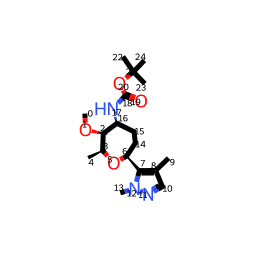 CO[C@@H]1[C@H](C)O[C@H](c2c(C)cnn2C)CC[C@H]1NC(=O)OC(C)(C)C